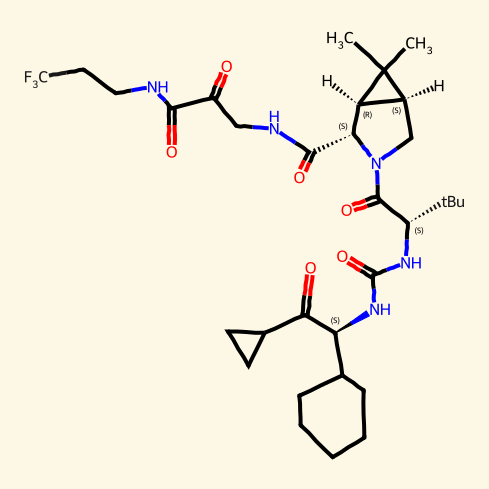 CC(C)(C)[C@H](NC(=O)N[C@H](C(=O)C1CC1)C1CCCCC1)C(=O)N1C[C@H]2[C@@H]([C@H]1C(=O)NCC(=O)C(=O)NCCC(F)(F)F)C2(C)C